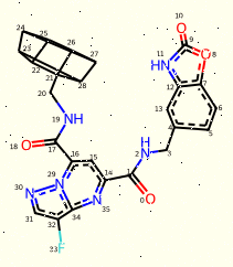 O=C(NCc1ccc2oc(=O)[nH]c2c1)c1cc(C(=O)NCC23C4C5C6C4C2C6C53)n2ncc(F)c2n1